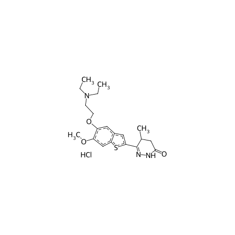 CCN(CC)CCOc1cc2cc(C3=NNC(=O)CC3C)sc2cc1OC.Cl